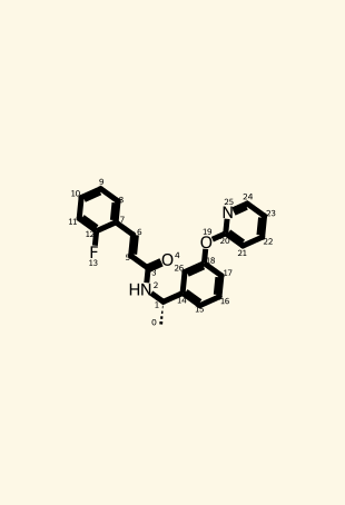 C[C@H](NC(=O)C=Cc1ccccc1F)c1cccc(Oc2ccccn2)c1